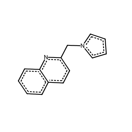 c1ccc2nc(Cn3cccc3)ccc2c1